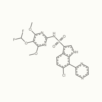 COc1nc(NS(=O)(=O)c2c[nH]c3c(-c4cnccn4)c(Cl)ccc23)nc(OC)c1OC(F)F